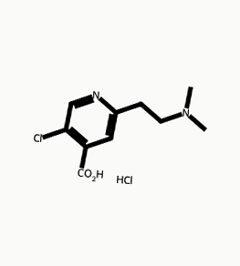 CN(C)CCc1cc(C(=O)O)c(Cl)cn1.Cl